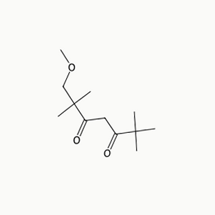 COCC(C)(C)C(=O)CC(=O)C(C)(C)C